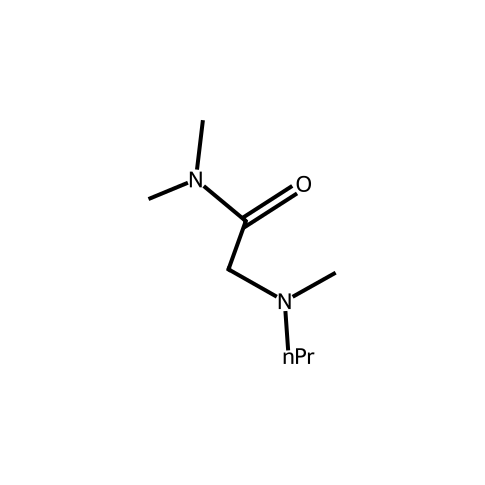 CCCN(C)CC(=O)N(C)C